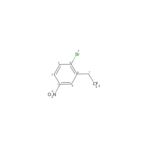 O=[N+]([O-])c1ccc(Br)c(CC(F)(F)F)c1